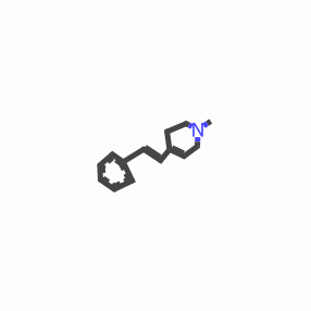 CN1CC=C(C=Cc2ccccc2)CC1